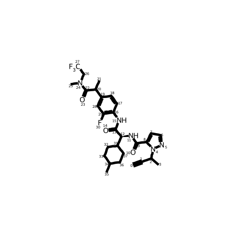 C#CC(C)n1nccc1C(=O)N[C@H](C(=O)Nc1ccc(C(C)C(=O)N(C)CC(F)(F)F)cc1F)C1CCC(C)CC1